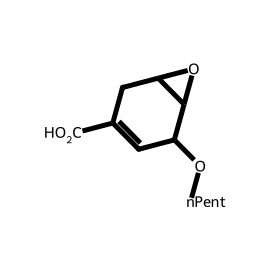 CCCCCOC1C=C(C(=O)O)CC2OC12